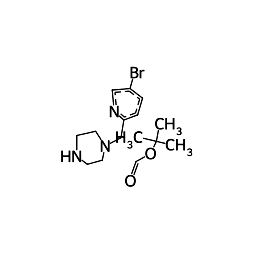 Brc1ccc(CN2CCNCC2)nc1.CC(C)(C)OC=O